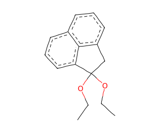 CCOC1(OCC)Cc2cccc3cccc1c23